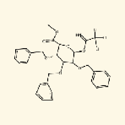 COC(=O)C1O[C@@H](OC(=N)C(Cl)(Cl)Cl)C(OCc2ccccc2)C(OCc2ccccc2)[C@@H]1OCc1ccccc1